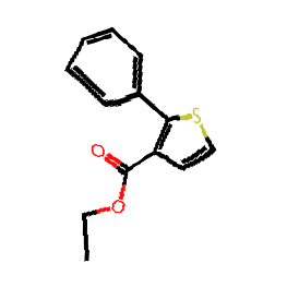 CCOC(=O)c1ccsc1-c1ccccc1